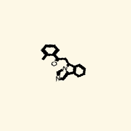 Cc1ccccc1C(=O)CC1C2=C(CCC=C2)c2cncn21